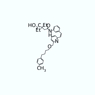 CCC(CC)(CC(=O)Nc1cccc(/C=C\c2cccc(COCCCCc3ccc(C)cc3)n2)c1)C(=O)O